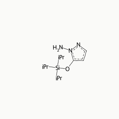 CC(C)[Si](Oc1ccnn1N)(C(C)C)C(C)C